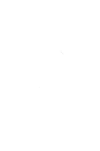 O=C(O)C1CCC(C(=O)c2nccs2)C1